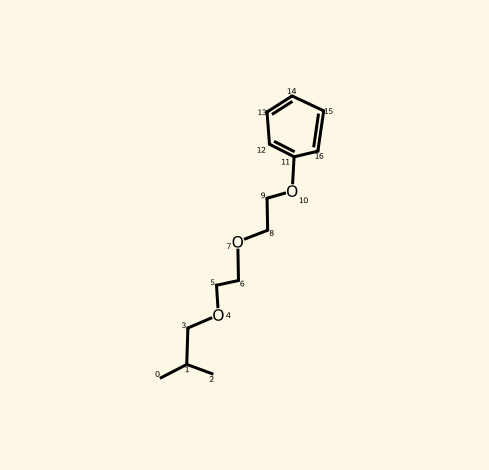 CC(C)COCCOCCOc1ccccc1